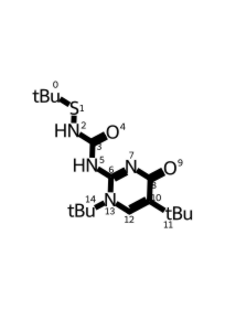 CC(C)(C)SNC(=O)Nc1nc(=O)c(C(C)(C)C)cn1C(C)(C)C